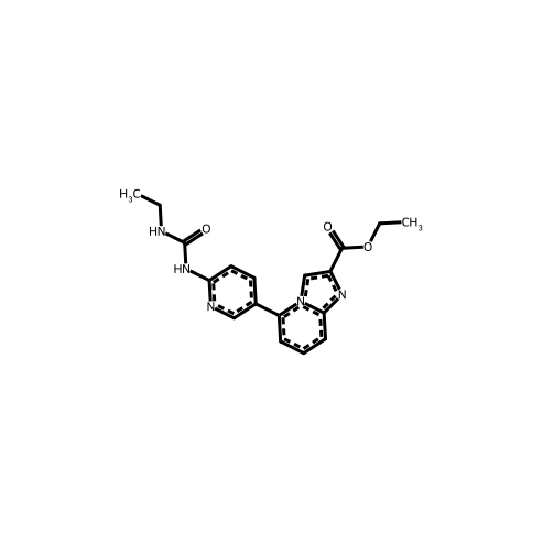 CCNC(=O)Nc1ccc(-c2cccc3nc(C(=O)OCC)cn23)cn1